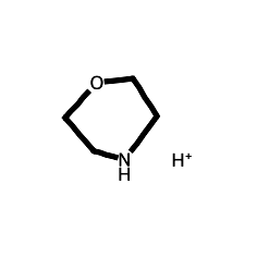 C1COCCN1.[H+]